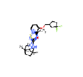 Cc1nsc(N2C[C@H]3CC[C@@H](C2)[C@@H]3Nc2nc3c(OCC4CCC(F)(F)C4)cccn3n2)n1